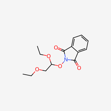 CCOCC(OCC)ON1C(=O)c2ccccc2C1=O